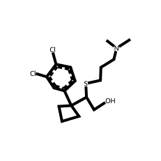 CN(C)CCCSC(CO)C1(c2ccc(Cl)c(Cl)c2)CCC1